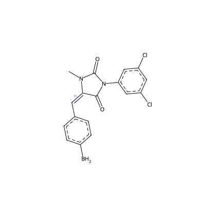 Bc1ccc(/C=C2\C(=O)N(c3cc(Cl)cc(Cl)c3)C(=O)N2C)cc1